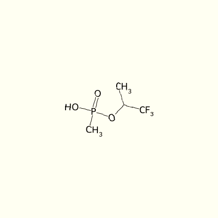 CC(OP(C)(=O)O)C(F)(F)F